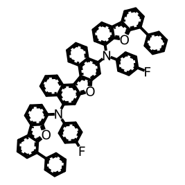 Fc1ccc(N(c2cc3oc4cc(N(c5ccc(F)cc5)c5cccc6c5oc5c(-c7ccccc7)cccc56)c5ccccc5c4c3c3ccccc23)c2cccc3c2oc2c(-c4ccccc4)cccc23)cc1